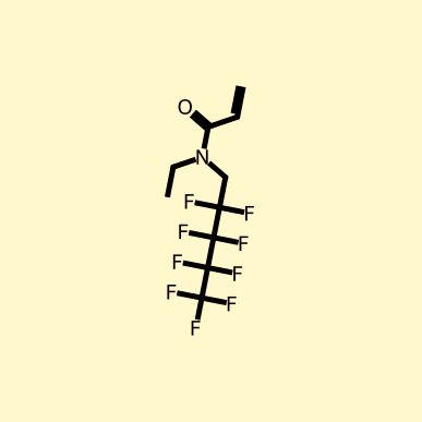 C=CC(=O)N(CC)CC(F)(F)C(F)(F)C(F)(F)C(F)(F)F